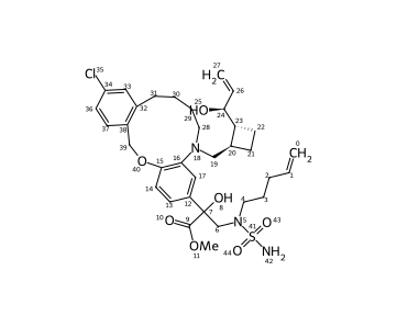 C=CCCCN(CC(O)(C(=O)OC)c1ccc2c(c1)N(C[C@@H]1CC[C@H]1[C@@H](O)C=C)CCCCc1cc(Cl)ccc1CO2)S(N)(=O)=O